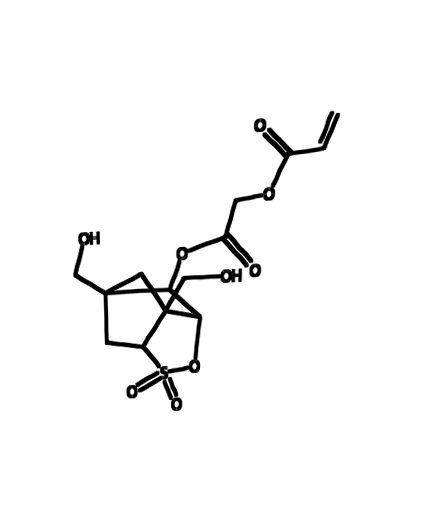 C=CC(=O)OCC(=O)OC1C2OS(=O)(=O)C3CC1(CO)CC23CO